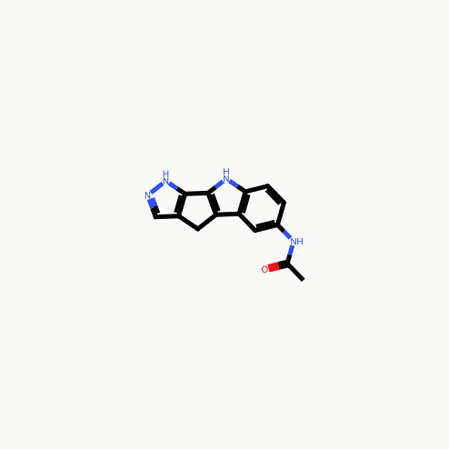 CC(=O)Nc1ccc2[nH]c3c(c2c1)Cc1cn[nH]c1-3